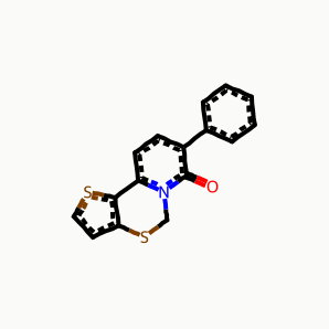 O=c1c(-c2ccccc2)ccc2n1CSc1ccsc1-2